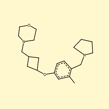 Cc1cc(OC2CC(CN3CCOCC3)C2)ccc1CN1CCCC1